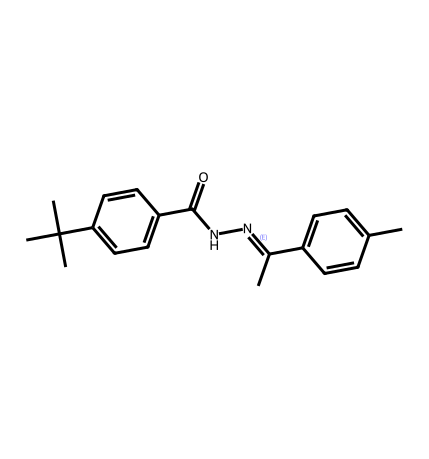 C/C(=N\NC(=O)c1ccc(C(C)(C)C)cc1)c1ccc(C)cc1